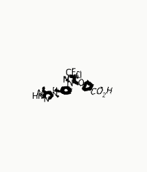 Cc1n[nH]c2ncc(N(C)C(=O)c3cccc(-n4nc(C(F)(F)F)c(Cl)c4COc4ccc(C(=O)O)cc4)c3)cc12